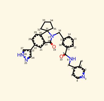 Cc1cnccc1CNC(=O)c1cccc(CN2C(=O)c3cc(-c4cn[nH]c4)ccc3C23CCCC3)c1